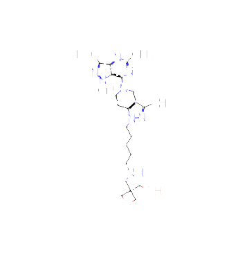 Cc1nc(N2CCc3c(c(C)nn3CCCCCNCC3(CO)COC3)C2)c2c(n1)c(C)nn2C